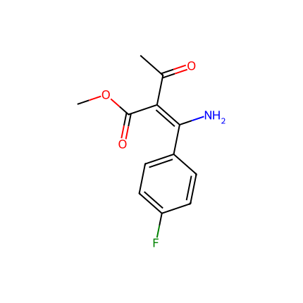 COC(=O)/C(C(C)=O)=C(/N)c1ccc(F)cc1